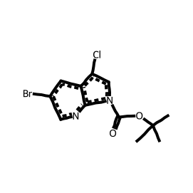 CC(C)(C)OC(=O)n1cc(Cl)c2cc(Br)cnc21